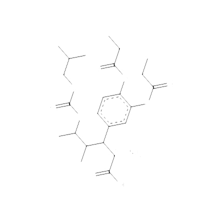 CCC(=O)Oc1ccc(C(C(C)C(C)OC(=O)OCC(C)C)[C@H](N)C(=O)O)cc1OC(=O)CC